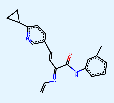 C=C/N=C(\C=C\c1ccc(C2CC2)nc1)C(=O)Nc1cccc(C)c1